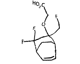 O=C(O)COC1(CF)C2C=CC(C2)C1(F)F